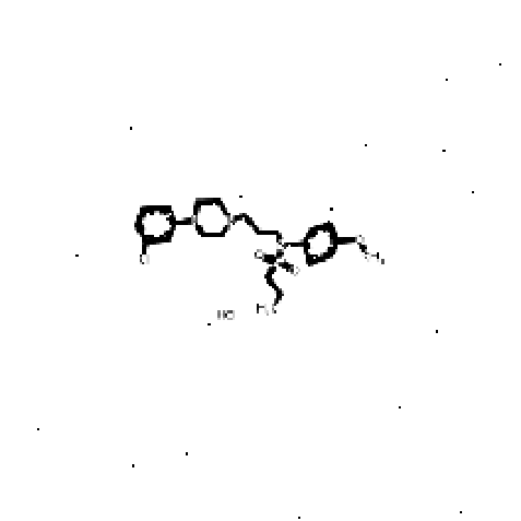 CCCS(=O)(=O)N(CCCN1CCN(c2cccc(Cl)c2)CC1)c1ccc(OC)cc1.Cl